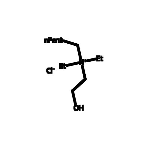 CCCCCC[N+](CC)(CC)CCO.[Cl-]